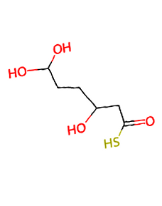 O=C(S)CC(O)CCC(O)O